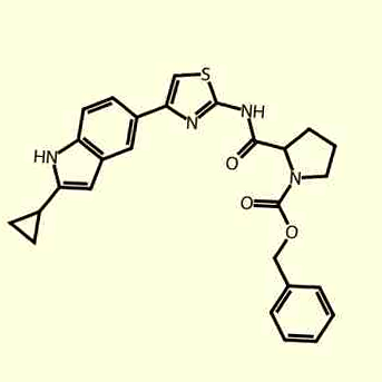 O=C(Nc1nc(-c2ccc3[nH]c(C4CC4)cc3c2)cs1)C1CCCN1C(=O)OCc1ccccc1